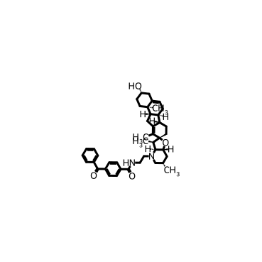 CC1=C2C[C@H]3[C@@H](CC=C4C[C@@H](O)CC[C@@]43C)[C@@H]2CC[C@]12O[C@@H]1C[C@H](C)CN(CCNC(=O)c3ccc(C(=O)c4ccccc4)cc3)[C@H]1[C@H]2C